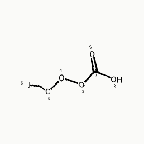 O=C(O)OOOI